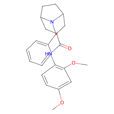 COc1ccc(NC(=O)C2CC3CCC(C2)N3Cc2ccccc2)c(OC)c1